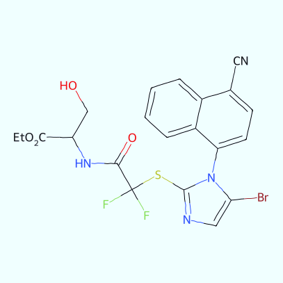 CCOC(=O)C(CO)NC(=O)C(F)(F)Sc1ncc(Br)n1-c1ccc(C#N)c2ccccc12